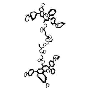 CCC(COCC(CC)OC(=O)CCC(=O)OCC1=CC(c2ccccc2)(c2ccc(N3CCCC3)cc2)Oc2c1cc(-c1ccc(OC)cc1)c1ccc(OC)cc21)OC(=O)CCC(=O)OCC1=CC(c2ccccc2)(c2ccc(N3CCCC3)cc2)Oc2c1cc(-c1ccc(OC)cc1)c1ccc(OC)cc21